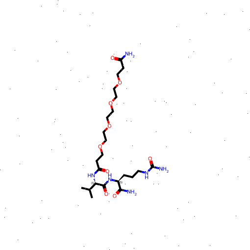 CC(C)[C@H](NC(=O)CCOCCOCCOCCOCCC(N)=O)C(=O)N[C@@H](CCCNC(N)=O)C(N)=O